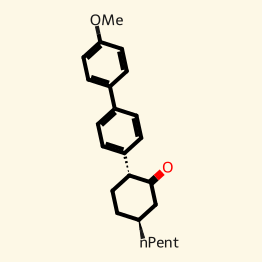 CCCCC[C@H]1CC[C@H](c2ccc(-c3ccc(OC)cc3)cc2)C(=O)C1